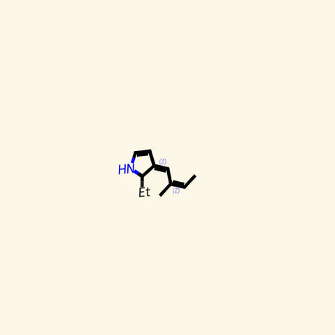 C/C=C(C)\C=C1\C=CNC1CC